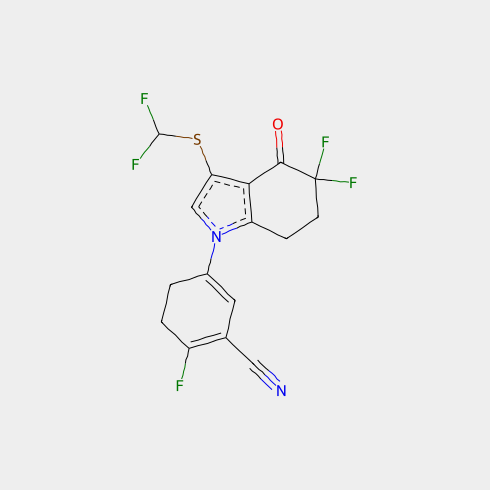 N#CC1=C(F)CCC(n2cc(SC(F)F)c3c2CCC(F)(F)C3=O)=C1